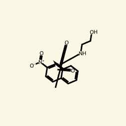 O=C1CC2=C([N+](=O)[O-])C=CC3=CC=CCC32C(=O)N1NCCO